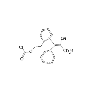 N#CC(C(=O)O)=C(c1ccccc1)c1ccccc1CCOC(=O)Cl